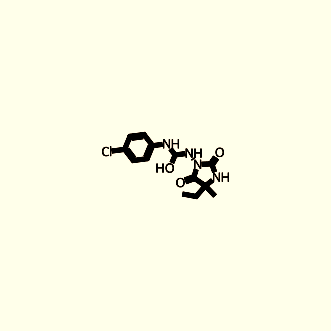 CCC1(C)NC(=O)N(NC(O)Nc2ccc(Cl)cc2)C1=O